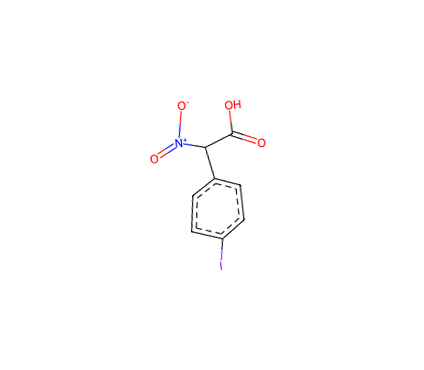 O=C(O)C(c1ccc(I)cc1)[N+](=O)[O-]